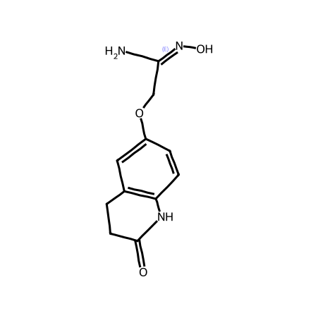 N/C(COc1ccc2c(c1)CCC(=O)N2)=N/O